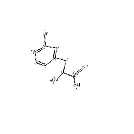 NC(Cc1ccnc(Br)c1)C(=O)O